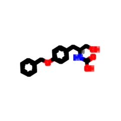 O=C(O)N[C@H](CO)Cc1ccc(OCc2ccccc2)cc1